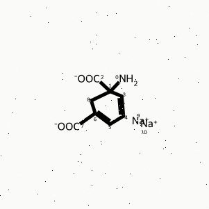 NC1(C(=O)[O-])C=CC=C(C(=O)[O-])C1.[Na+].[Na+]